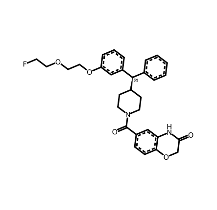 O=C1COc2ccc(C(=O)N3CCC([C@H](c4ccccc4)c4cccc(OCCOCCF)c4)CC3)cc2N1